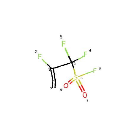 C=C(F)C(F)(F)S(=O)(=O)F